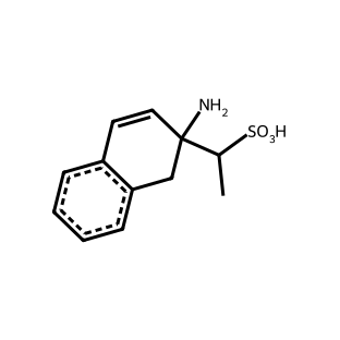 CC(C1(N)C=Cc2ccccc2C1)S(=O)(=O)O